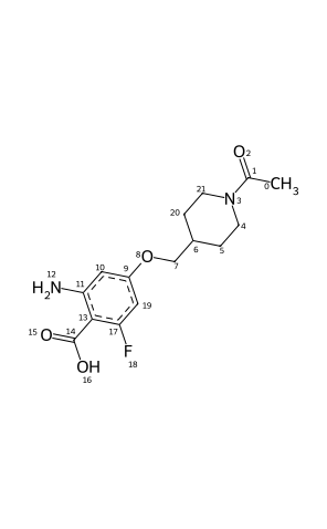 CC(=O)N1CCC(COc2cc(N)c(C(=O)O)c(F)c2)CC1